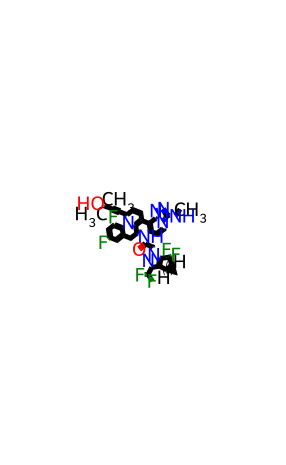 CNc1nnc2c(-c3ccc(C#CC(C)(C)O)nc3C(Cc3cc(F)cc(F)c3)NC(=O)Cn3nc(C(F)F)c4c3C(F)(F)[C@@H]3C[C@H]43)cccn12